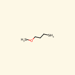 [SiH3][CH]CCO[SiH3]